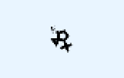 CC(C)(C)C1CCC(F)C12CC2